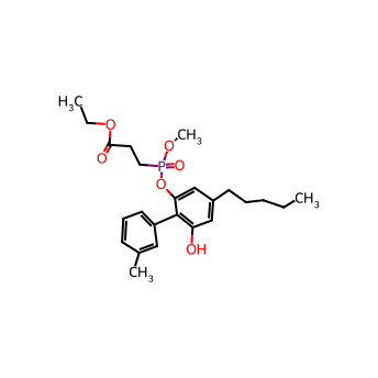 CCCCCc1cc(O)c(-c2cccc(C)c2)c(OP(=O)(CCC(=O)OCC)OC)c1